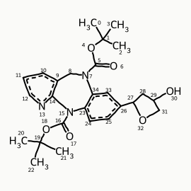 CC(C)(C)OC(=O)N1Cc2cccnc2N(C(=O)OC(C)(C)C)c2ccc(C3CC(O)CO3)cc21